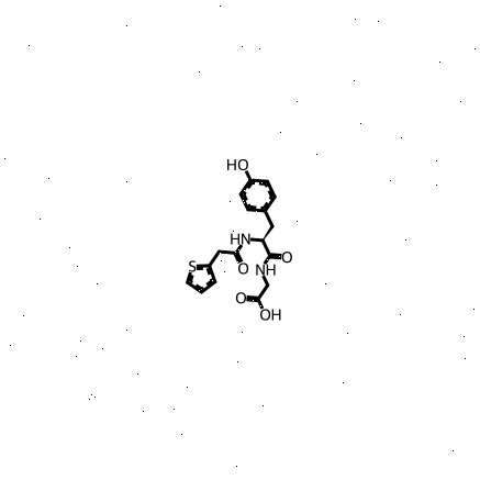 O=C(O)CNC(=O)[C@H](Cc1ccc(O)cc1)NC(=O)Cc1cccs1